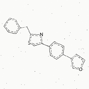 c1ccc(Cc2nc(-c3ccc(-c4ccoc4)cc3)cs2)cc1